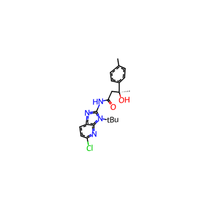 Cc1ccc([C@@](C)(O)CC(=O)Nc2nc3ccc(Cl)nc3n2C(C)(C)C)cc1